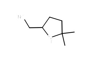 CC1(C)CCC(CC#N)N1